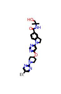 CCc1cnc(N2CCC(Oc3cc(N4CCc5cc(C(=O)NC(C)(C)CO)ccc54)ncn3)CC2)nc1